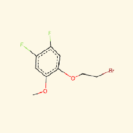 COc1cc(F)c(F)cc1OCCBr